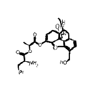 CC(C)C[C@H](N)C(=O)O[C@@H](C)C(=O)OC1=CC[C@@]2(O)[C@H]3Cc4ccc(CO)c5c4C2(CCN3C)C1O5